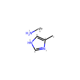 CCCN.Cc1c[nH]cn1